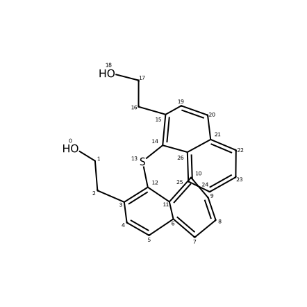 OCCc1ccc2ccccc2c1Sc1c(CCO)ccc2ccccc12